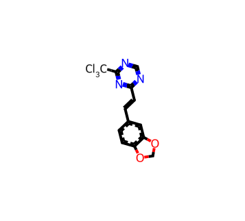 ClC(Cl)(Cl)c1ncnc(C=Cc2ccc3c(c2)OCO3)n1